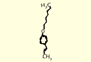 C/C=C/c1ccc(OCCCCCCCC)cc1